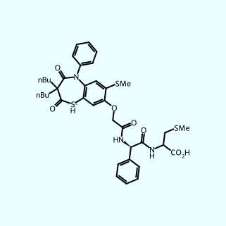 CCCCC1(CCCC)C(=O)[SH]c2cc(OCC(=O)N[C@@H](C(=O)NC(CSC)C(=O)O)c3ccccc3)c(SC)cc2N(c2ccccc2)C1=O